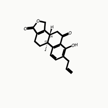 C=CCc1ccc2c(c1O)C(=O)C[C@H]1C3=C(CC[C@]21C)C(=O)OC3